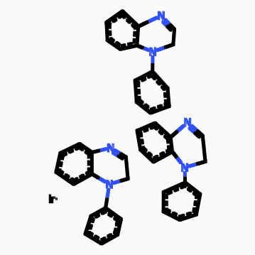 C1=Nc2ccccc2N(c2ccccc2)C1.C1=Nc2ccccc2N(c2ccccc2)C1.C1=Nc2ccccc2N(c2ccccc2)C1.[Ir]